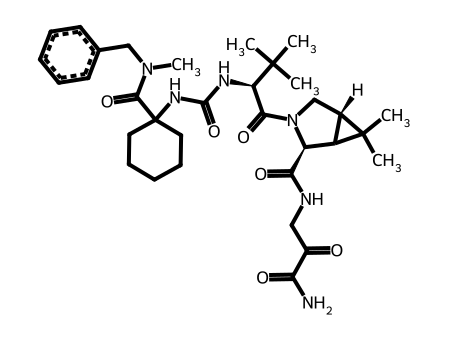 CN(Cc1ccccc1)C(=O)C1(NC(=O)N[C@H](C(=O)N2C[C@H]3C([C@H]2C(=O)NCC(=O)C(N)=O)C3(C)C)C(C)(C)C)CCCCC1